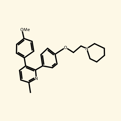 COc1ccc(-c2ccc(C)nc2-c2ccc(OCCN3CCCCC3)cc2)cc1